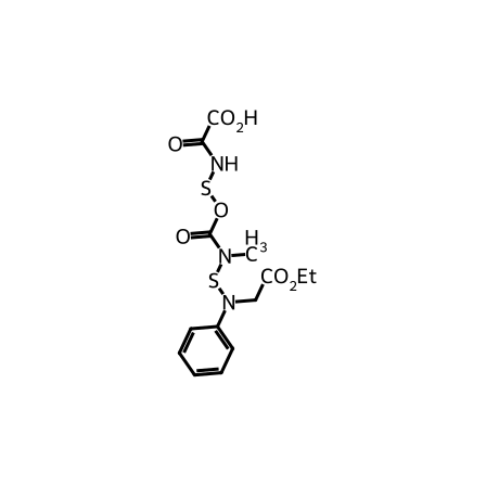 CCOC(=O)CN(SN(C)C(=O)OSNC(=O)C(=O)O)c1ccccc1